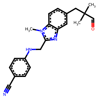 Cn1c(CNc2ccc(C#N)cc2)nc2cc(CC(C)(C)C=O)ccc21